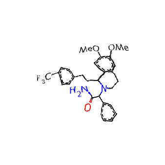 COc1cc2c(cc1OC)C(CCc1ccc(C(F)(F)F)cc1)N(C(C(N)=O)c1ccccc1)CC2